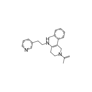 C=C(C)N1CCC(NCCc2cccnc2)=C(c2ccccc2C)C1